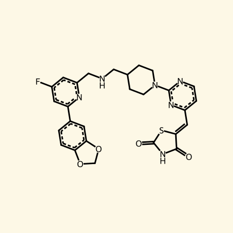 O=C1NC(=O)C(=Cc2ccnc(N3CCC(CNCc4cc(F)cc(-c5ccc6c(c5)OCO6)n4)CC3)n2)S1